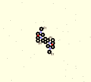 CCc1cccc(-n2c3ccccc3c3c(N(c4cccc5c4CCCC5)c4cc(C(C)C)c5ccc6c(N(c7cccc8c7CCCC8)c7cccc8c7c7ccccc7n8-c7cccc(CC)c7)cc(C(C)C)c7ccc4c5c76)cccc32)c1